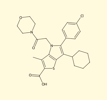 Cc1c(C(=O)O)sc2c(C3CCCCC3)c(-c3ccc(Cl)cc3)n(CC(=O)N3CCOCC3)c12